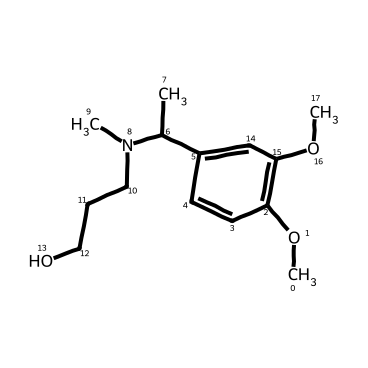 COc1ccc(C(C)N(C)CCCO)cc1OC